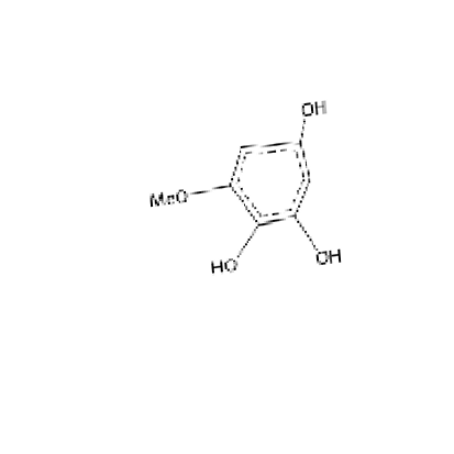 COc1cc(O)cc(O)c1O